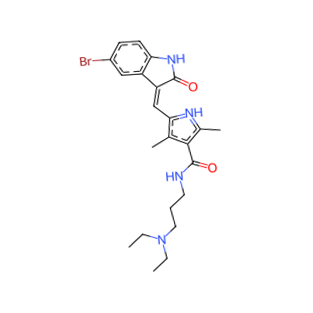 CCN(CC)CCCNC(=O)c1c(C)[nH]c(C=C2C(=O)Nc3ccc(Br)cc32)c1C